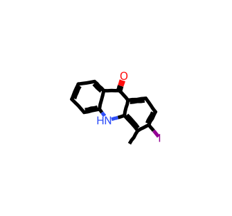 Cc1c(I)ccc2c(=O)c3ccccc3[nH]c12